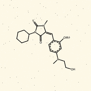 COc1cc(N(C)CCO)ccc1C=C1C(=O)N(C2CCCCC2)C(=S)N1C